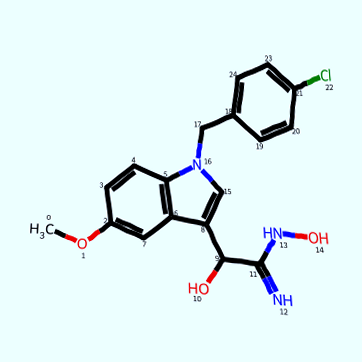 COc1ccc2c(c1)c(C(O)C(=N)NO)cn2Cc1ccc(Cl)cc1